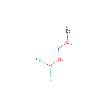 CCO[CH]OC(F)F